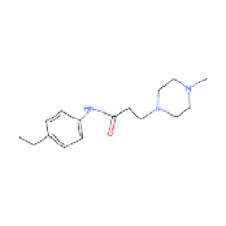 CCc1ccc(NC(=O)CCN2CCN(C)CC2)cc1